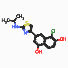 CC(C)Nc1nc(-c2cc(O)c3ccc(O)c(Cl)c3c2)cs1